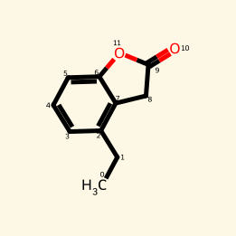 CCc1cccc2c1CC(=O)O2